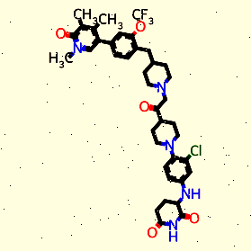 Cc1c(-c2ccc(CC3CCN(CC(=O)C4CCN(c5ccc(NC6CCC(=O)NC6=O)cc5Cl)CC4)CC3)c(OC(F)(F)F)c2)cn(C)c(=O)c1C